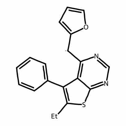 CCc1sc2ncnc([CH]c3ccco3)c2c1-c1ccccc1